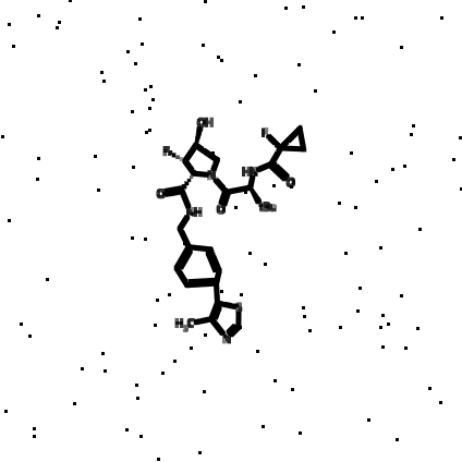 Cc1ncsc1-c1ccc(CNC(=O)[C@@H]2[C@H](F)[C@@H](O)CN2C(=O)[C@@H](NC(=O)C2(F)CC2)C(C)(C)C)cc1